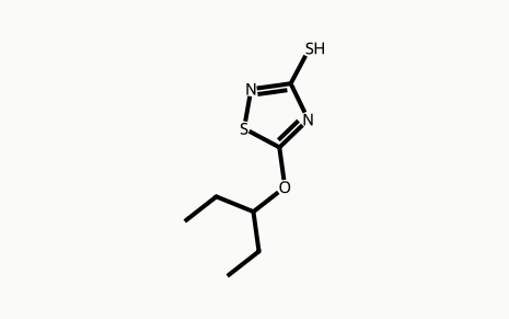 CCC(CC)Oc1nc(S)ns1